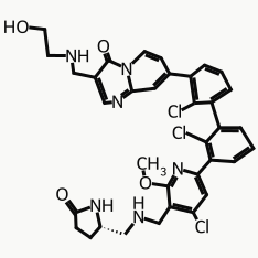 COc1nc(-c2cccc(-c3cccc(-c4ccn5c(=O)c(CNCCO)cnc5c4)c3Cl)c2Cl)cc(Cl)c1CNC[C@@H]1CCC(=O)N1